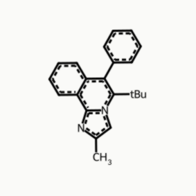 Cc1cn2c(C(C)(C)C)c(-c3ccccc3)c3ccccc3c2n1